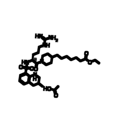 CC(=O)O.CCOC(=O)CCCCCCC1CCN(C(=O)[C@H](CCCNC(=N)N)NS(=O)(=O)c2cccc3c2NCC(C)C3)CC1